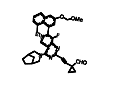 CCc1cccc2cc(OCOC)cc(-c3ncc4c(N5CC6CCC(C6)C5)nc(C#CC5(C=O)CC5)nc4c3F)c12